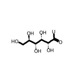 O=[C]([U])[C@H](O)[C@@H](O)[C@H](O)[C@H](O)CO